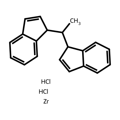 CC(C1C=Cc2ccccc21)C1C=Cc2ccccc21.Cl.Cl.[Zr]